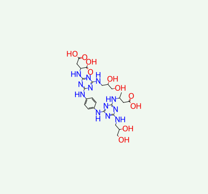 CC(CC(=O)O)Nc1nc(NCC(O)CO)nc(Nc2ccc(Nc3nc(NCC(O)CO)nc(NC(CC(=O)O)C(=O)O)n3)cc2)n1